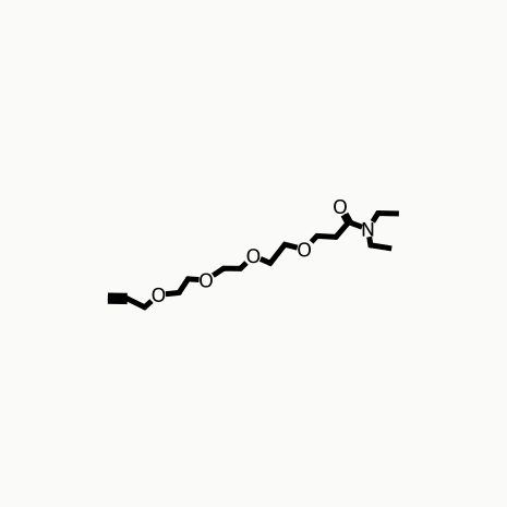 C#CCOCCOCCOCCOCCC(=O)N(CC)CC